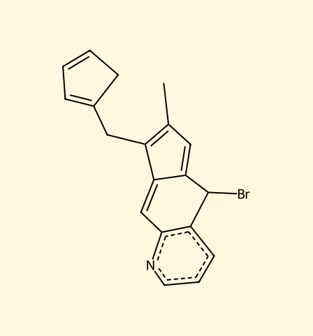 CC1=C(CC2=CC=CC2)C2=Cc3ncccc3C(Br)C2=C1